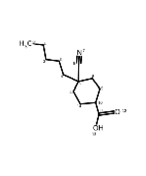 CCCCCC1(C#N)CCC(C(=O)O)CC1